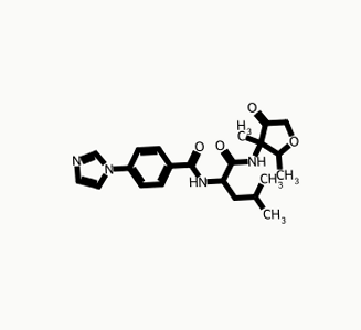 CC(C)CC(NC(=O)c1ccc(-n2ccnc2)cc1)C(=O)NC1(C)C(=O)COC1C